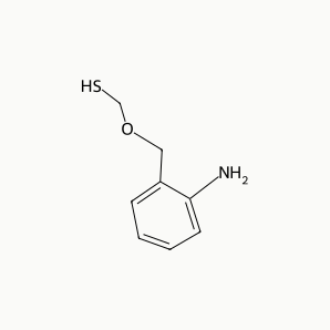 Nc1ccccc1COCS